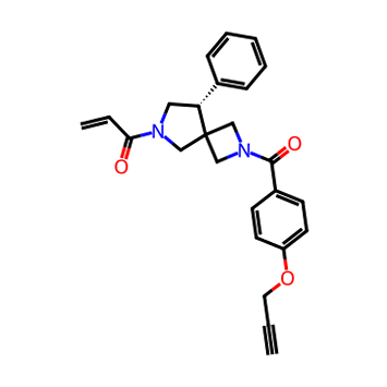 C#CCOc1ccc(C(=O)N2CC3(CN(C(=O)C=C)C[C@@H]3c3ccccc3)C2)cc1